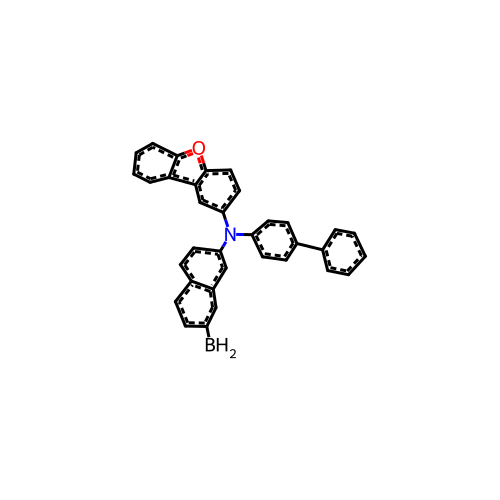 Bc1ccc2ccc(N(c3ccc(-c4ccccc4)cc3)c3ccc4oc5ccccc5c4c3)cc2c1